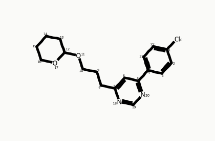 Clc1ccc(-c2cc(CCCOC3CCCCO3)ncn2)cc1